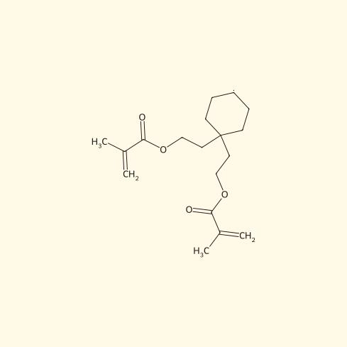 C=C(C)C(=O)OCCC1(CCOC(=O)C(=C)C)CC[CH]CC1